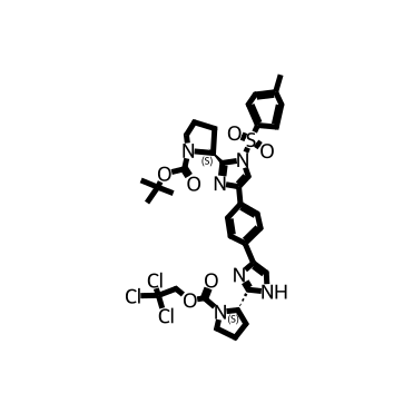 Cc1ccc(S(=O)(=O)n2cc(-c3ccc(-c4c[nH]c([C@@H]5CCCN5C(=O)OCC(Cl)(Cl)Cl)n4)cc3)nc2[C@@H]2CCCN2C(=O)OC(C)(C)C)cc1